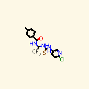 Cc1ccc(C(=O)NC(NC(=S)Nc2ccc(Cl)nc2)C(F)(F)F)cc1